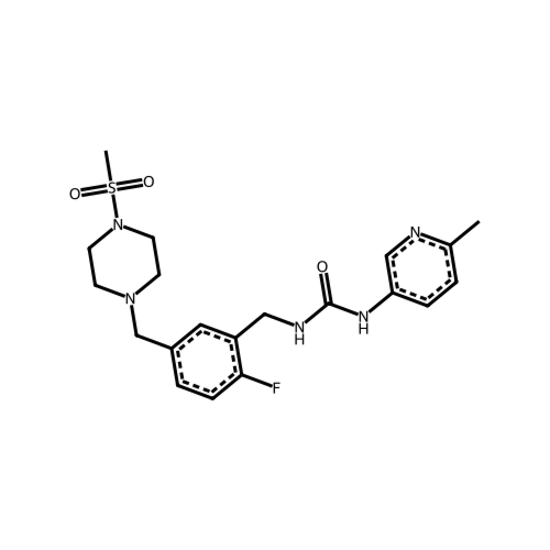 Cc1ccc(NC(=O)NCc2cc(CN3CCN(S(C)(=O)=O)CC3)ccc2F)cn1